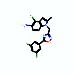 Cc1cc2c(Cl)c(N)ccc2n1Cc1noc(-c2cc(F)cc(F)c2)n1